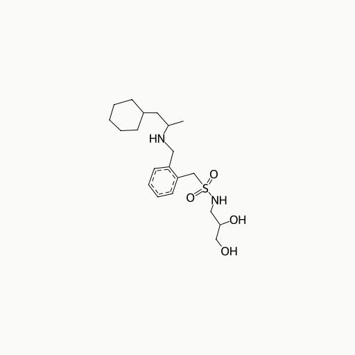 CC(CC1CCCCC1)NCc1ccccc1CS(=O)(=O)NCC(O)CO